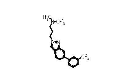 CN(C)CCCn1cc2ccc(-c3cccc(C(F)(F)F)c3)cc2n1